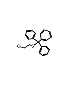 [O]CCSC(c1ccccc1)(c1ccccc1)c1ccccc1